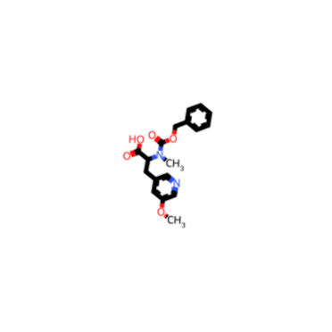 COc1cncc(CC(C(=O)O)N(C)C(=O)OCc2ccccc2)c1